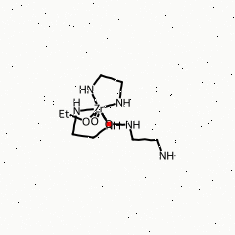 CC[O][Zr]12(=[O])([O]NCC[NH])([NH]CC[NH]1)[NH]CC[NH]2